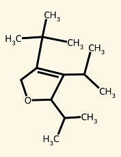 CC(C)C1=C(C(C)(C)C)COC1C(C)C